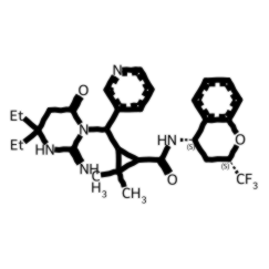 CCC1(CC)CC(=O)N(C(c2cccnc2)C2C(C(=O)N[C@H]3C[C@@H](C(F)(F)F)Oc4ccccc43)C2(C)C)C(=N)N1